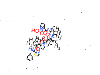 CC[C@H](C)[C@@H]([C@@H](CC(=O)N1CCCC1[C@H](OC)[C@@H](C)C(=O)N[C@@H](Cc1ccccc1)c1nccs1)OC)N(C)C(=O)C(NC(=O)C1C2CCC(C2)N1C(=O)O)C(C)C